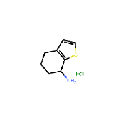 Cl.NC1CCCc2ccsc21